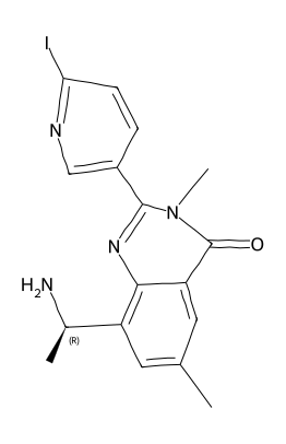 Cc1cc([C@@H](C)N)c2nc(-c3ccc(I)nc3)n(C)c(=O)c2c1